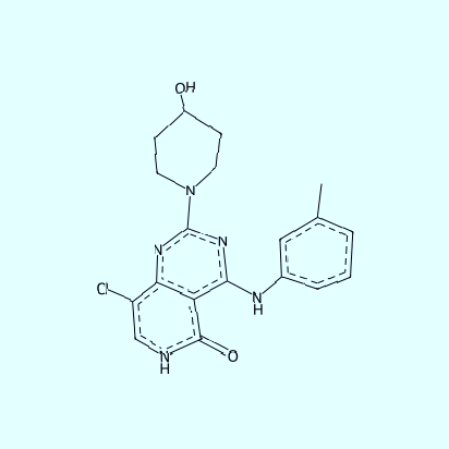 Cc1cccc(Nc2nc(N3CCC(O)CC3)nc3c(Cl)c[nH]c(=O)c23)c1